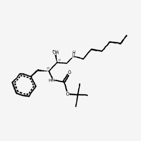 CCCCCCNC[C@H](O)[C@H](Cc1ccccc1)NC(=O)OC(C)(C)C